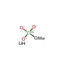 CO[Cl+3]([O-])([O-])[O-].[LiH]